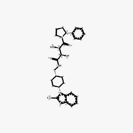 O=C(NC[C@H]1CC[C@@H](n2c(C(F)(F)F)nc3ccccc32)CC1)[C@H](O)[C@@H](O)C(=O)N1CCC[C@@H]1c1ccccc1